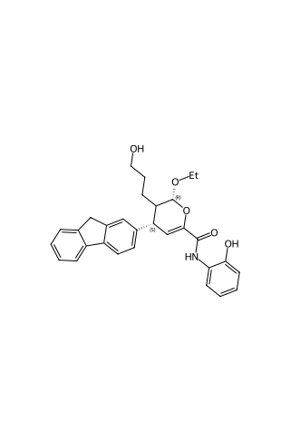 CCO[C@@H]1OC(C(=O)Nc2ccccc2O)=C[C@H](c2ccc3c(c2)Cc2ccccc2-3)C1CCCO